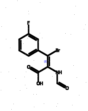 O=CN/C(C(=O)O)=C(\Br)c1cccc(F)c1